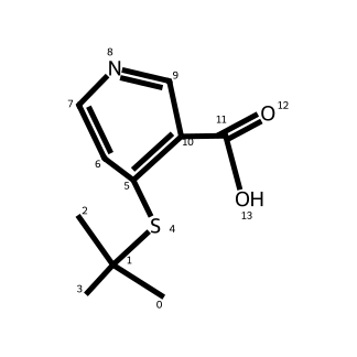 CC(C)(C)Sc1ccncc1C(=O)O